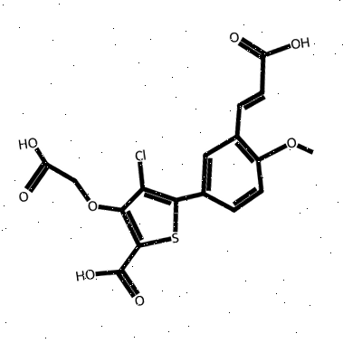 COc1ccc(-c2sc(C(=O)O)c(OCC(=O)O)c2Cl)cc1C=CC(=O)O